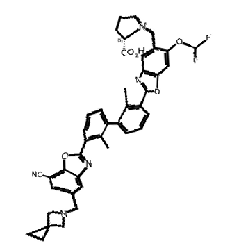 Cc1c(-c2nc3cc(CN4CCC[C@H]4C(=O)O)c(OC(F)F)cc3o2)cccc1-c1cccc(-c2nc3cc(CN4CC5(CC5)C4)cc(C#N)c3o2)c1C